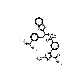 Cc1nc(C(N)=O)c(-c2cccc(S(=O)(=O)NC(Cc3cccc(/C(N)=N\O)c3)c3nc4ccccc4s3)c2)o1